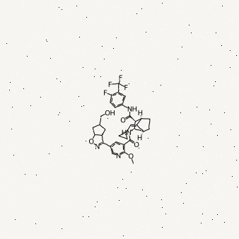 COc1ncc(C2=NOC3CC(CO)CC23)cc1C(=O)N[C@H]1[C@@H](C(=O)Nc2ccc(F)c(C(F)(F)F)c2)[C@H]2CC[C@@H]1/C2=C\C1CC1